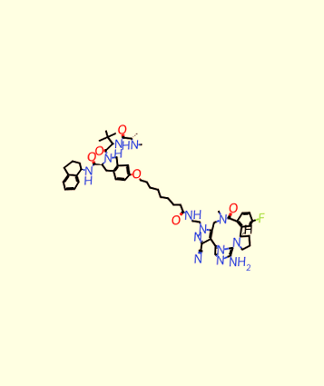 CN[C@@H](C)C(=O)N[C@H](C(=O)N1Cc2cc(OCCCCCCCCC(=O)NCCn3nc(C#N)c4c3CN(C)C(=O)c3ccc(F)cc3[C@H]3CCCN3c3nc-4cnc3N)ccc2C[C@H]1C(=O)N[C@@H]1CCCc2ccccc21)C(C)(C)C